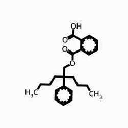 CCCCC(CCCC)(COC(=O)c1ccccc1C(=O)O)c1ccccc1